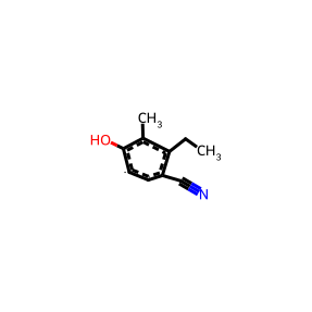 CCc1c(C#N)c[c]c(O)c1C